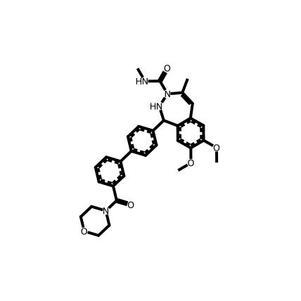 CNC(=O)N1NC(c2ccc(-c3cccc(C(=O)N4CCOCC4)c3)cc2)c2cc(OC)c(OC)cc2C=C1C